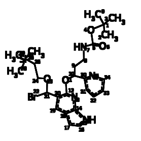 CC(C)(C)OC(=O)NCCC(Oc1nc2[nH]ccc2cc1C(Br)OCC[Si](C)(C)C)c1ccccn1